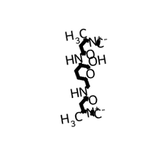 [C-]#[N+]C(C)CC(=O)NCC1CCC(NC(=O)CC(C)[N+]#[C-])C(O)O1